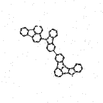 c1ccc2c(c1)-c1cccc3c(-n4c5ccccc5c5cc(-c6ccc7c(c6)c6cccc8c9sc%10ccccc%10c9n7c68)ccc54)ccc-2c13